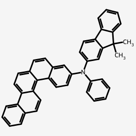 CC1(C)c2ccccc2-c2ccc(N(c3ccccc3)c3ccc4c(ccc5ccc6c7ccccc7ccc6c54)c3)cc21